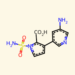 Nc1cncc(-c2ccn(S(N)(=O)=O)c2C(=O)O)c1